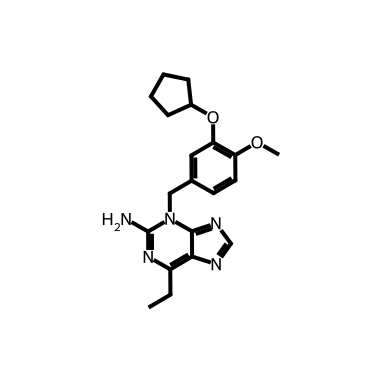 CCc1nc(N)n(Cc2ccc(OC)c(OC3CCCC3)c2)c2ncnc1-2